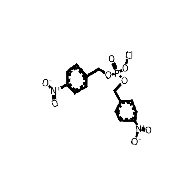 O=[N+]([O-])c1ccc(COP(=O)(OCl)OCc2ccc([N+](=O)[O-])cc2)cc1